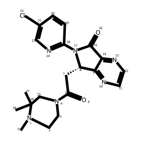 CN1CCN(C(=O)C[C@H]2c3nccnc3C(=O)N2c2ccc(Cl)cn2)CC1(C)C